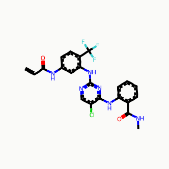 C=CC(=O)Nc1ccc(C(F)(F)F)c(Nc2ncc(Cl)c(Nc3ccccc3C(=O)NC)n2)c1